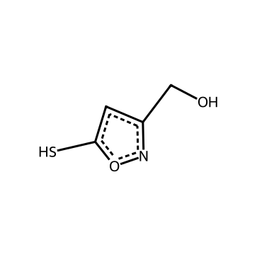 OCc1cc(S)on1